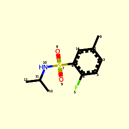 Cc1ccc(F)c(S(=O)(=O)NC(C)C)c1